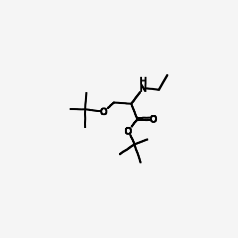 CCNC(COC(C)(C)C)C(=O)OC(C)(C)C